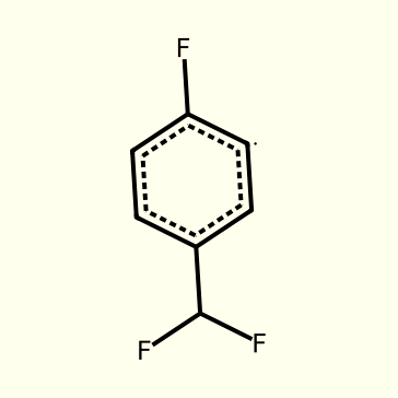 Fc1[c]cc(C(F)F)cc1